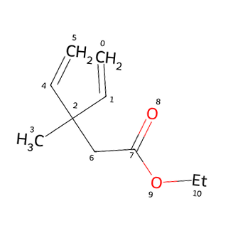 C=CC(C)(C=C)CC(=O)OCC